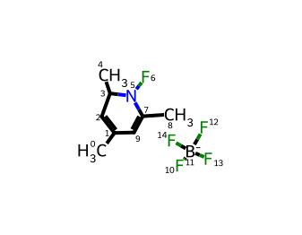 CC1=CC(C)N(F)C(C)=C1.F[B-](F)(F)F